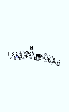 CC(=N)/N=C(\N)C(=O)N1CCC(Oc2ccc(-c3ncnc(Nc4ccc(N5CCN(C6COC6)CC5)cc4)n3)cc2C#N)C(F)C1